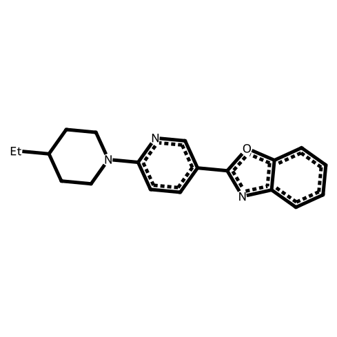 [CH2]CC1CCN(c2ccc(-c3nc4ccccc4o3)cn2)CC1